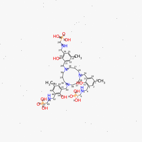 Cc1cc(CNCP(=O)(O)O)c(O)c(CN2CCCN(Cc3cc(C)cc(CNCP(=O)(O)O)c3O)CCCN(Cc3cc(C)cc(CNCP(=O)(O)O)c3O)CCC2)c1